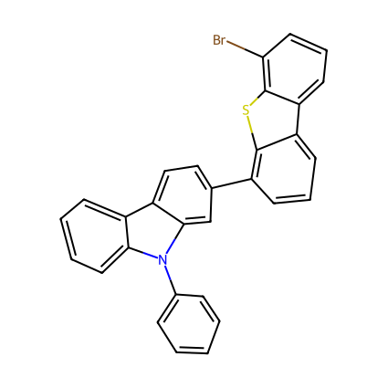 Brc1cccc2c1sc1c(-c3ccc4c5ccccc5n(-c5ccccc5)c4c3)cccc12